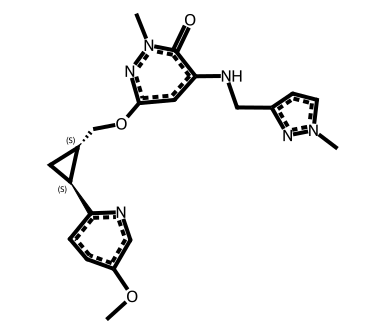 COc1ccc([C@H]2C[C@@H]2COc2cc(NCc3ccn(C)n3)c(=O)n(C)n2)nc1